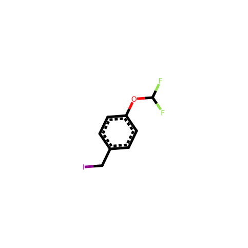 FC(F)Oc1ccc(CI)cc1